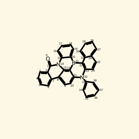 O=c1c2ccccc2c2ccc3c4c2n1-c1ccccc1B4c1c(ccc2ccccc12)N3c1ccccc1